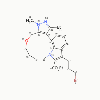 CCOC(=O)c1c(CCCBr)c2cccc3c2n1CCCCOCc1c-3c(CC)nn1C